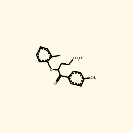 CCOC(=O)CCC(Oc1ccccc1I)C(=O)c1ccc(C)cc1